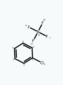 Clc1cc[c]cc1.F[B-](F)(F)F